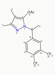 CC(=O)Oc1c(C)c(C)nn1C(C)c1ccc(C(F)(F)F)c(C(F)(F)F)c1